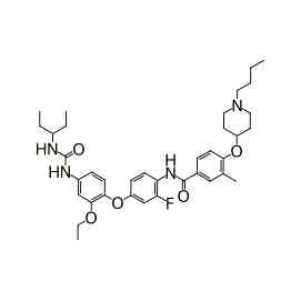 CCCCN1CCC(Oc2ccc(C(=O)Nc3ccc(Oc4ccc(NC(=O)NC(CC)CC)cc4OCC)cc3F)cc2C)CC1